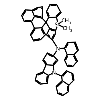 C[Si]1(C)c2ccccc2C2(c3ccccc3-c3cccc4cccc2c34)c2ccc(N(c3ccc4c5ccccc5n(-c5cccc6ccccc56)c4c3)c3cccc4ccccc34)cc21